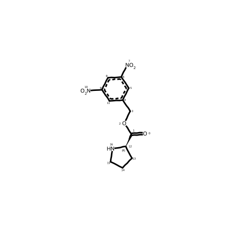 O=C(OCc1cc([N+](=O)[O-])cc([N+](=O)[O-])c1)[C@H]1CCCN1